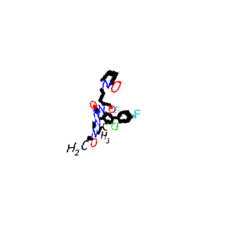 C=CC(=O)N1CCN(c2nc(=O)n3c4c(c(-c5ccc(F)cc5F)c(Cl)cc24)OCC3CCCN2CCCC2=O)[C@@H](C)C1